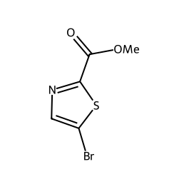 COC(=O)c1ncc(Br)s1